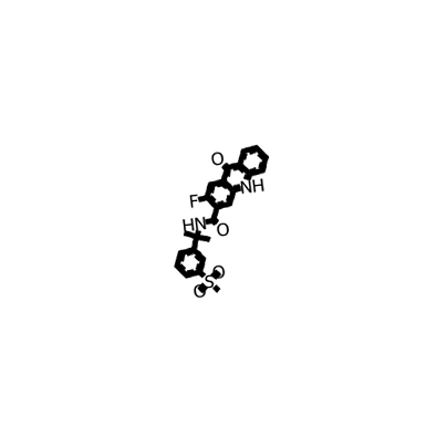 CC(C)(NC(=O)c1cc2[nH]c3ccccc3c(=O)c2cc1F)c1cccc(S(C)(=O)=O)c1